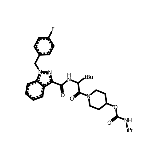 CC(C)NC(=O)OC1CCN(C(=O)C(NC(=O)c2nn(Cc3ccc(F)cc3)c3ccccc23)C(C)(C)C)CC1